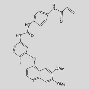 C=CC(=O)Nc1ccc(NC(=O)Nc2ccc(C)c(Oc3ccnc4cc(OC)c(OC)cc34)c2)cc1